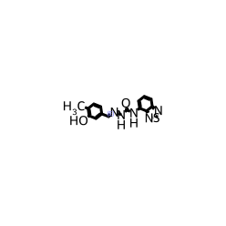 Cc1ccc(/C=N/NC(=O)Nc2cccc3nsnc23)cc1O